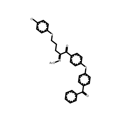 CC(=O)O/N=C(\CCCSc1ccc(Cl)cc1)C(=O)c1ccc(Sc2ccc(C(=O)c3ccccc3)cc2)cc1